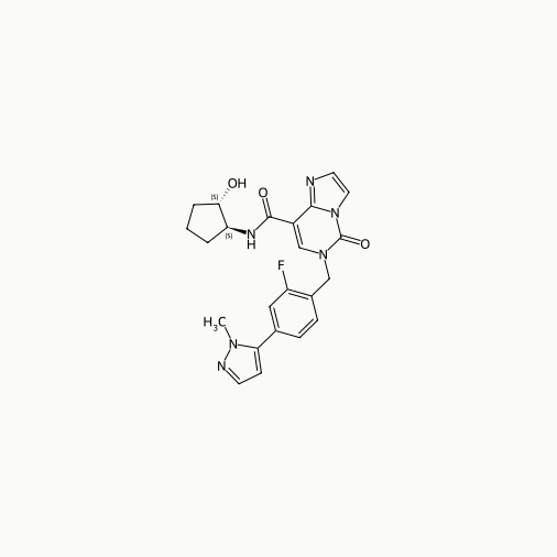 Cn1nccc1-c1ccc(Cn2cc(C(=O)N[C@H]3CCC[C@@H]3O)c3nccn3c2=O)c(F)c1